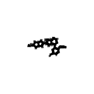 COc1ccc(F)cc1-c1ccnc2[nH]c(C3=CC4CN(C(C)=O)CC4C3)cc12